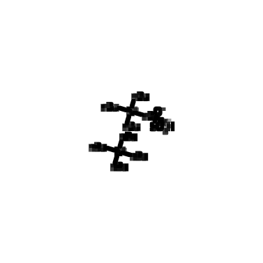 CCCC[N+](CCCC)(CCCC)CCCC.CCCC[N+](CCCC)(CCCC)CCCC.O=S(=O)([O-])O.[Br-]